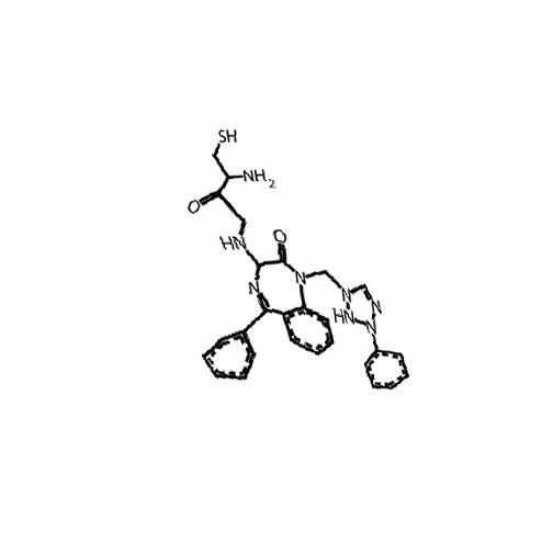 NC(CS)C(=O)CNC1N=C(c2ccccc2)c2ccccc2N(CN2C=NN(c3ccccc3)N2)C1=O